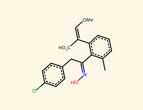 CO/C=C(/C(=O)O)c1cccc(C)c1C(Cc1ccc(Cl)cc1)=NO